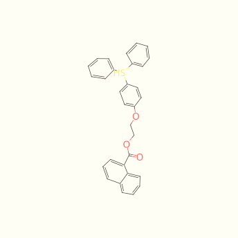 O=C(OCCOc1ccc([SH](c2ccccc2)c2ccccc2)cc1)c1cccc2ccccc12